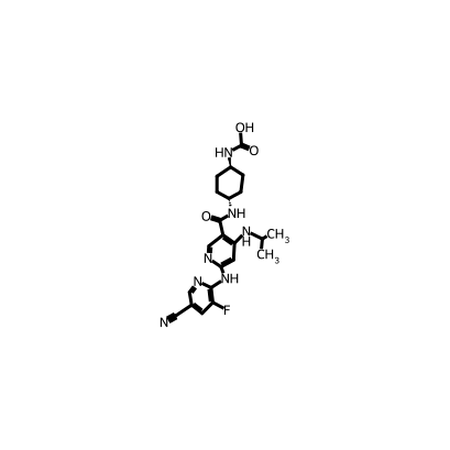 CC(C)Nc1cc(Nc2ncc(C#N)cc2F)ncc1C(=O)N[C@H]1CC[C@H](NC(=O)O)CC1